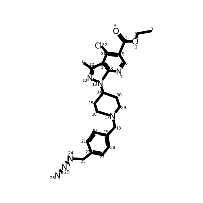 CCOC(=O)c1cnc2c(c(C)nn2C2CCN(Cc3ccc(CN=[N+]=[N-])cc3)CC2)c1Cl